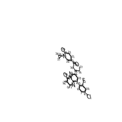 Cc1nc2c(-c3ccc(Cl)cc3F)cc([C@H]3CCO[C@@H](c4ccc(=O)n(C5CC5)c4)C3)nn2c(=O)c1C